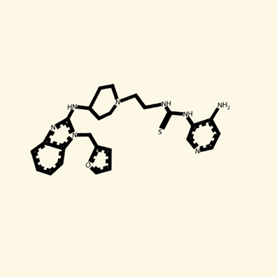 Nc1ccncc1NC(=S)NCCN1CCC(Nc2nc3ccccc3n2Cc2ccco2)CC1